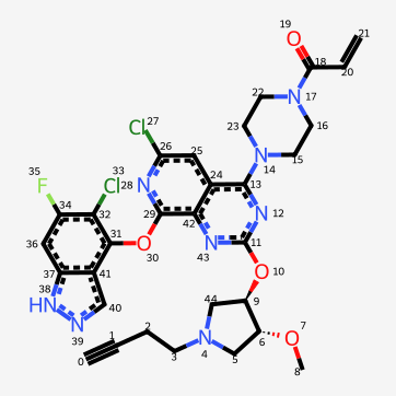 C#CCCN1C[C@@H](OC)[C@H](Oc2nc(N3CCN(C(=O)C=C)CC3)c3cc(Cl)nc(Oc4c(Cl)c(F)cc5[nH]ncc45)c3n2)C1